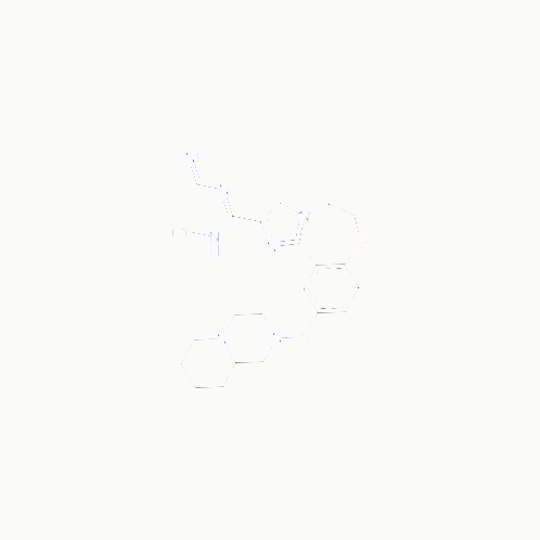 CC(C)N/C(=N\C=N)c1cn2c(n1)-c1cc(SN3CCN4CCCCC4C3)ccc1OCC2